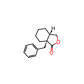 O=C1OC[C@H]2CCCC[C@@]12Cc1ccccc1